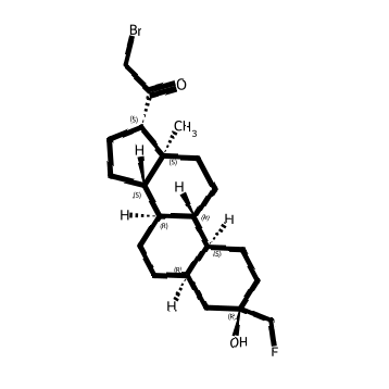 C[C@]12CC[C@H]3[C@@H](CC[C@@H]4C[C@@](O)(CF)CC[C@@H]43)[C@@H]1CC[C@@H]2C(=O)CBr